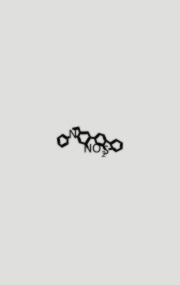 O=[N+]([O-])c1cc2c(ccn2-c2ccccc2)cc1-c1ccc2c(c1)sc1ccccc12